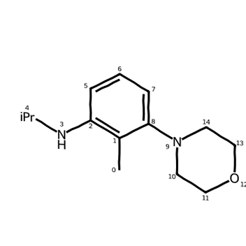 Cc1c(NC(C)C)cccc1N1CCOCC1